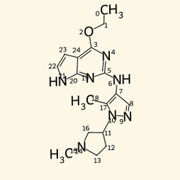 CCOc1nc(Nc2cnn(C3CCN(C)C3)c2C)nc2[nH]ccc12